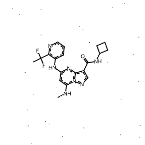 CNc1cc(Nc2cccnc2C(C)(F)F)nc2c(C(=O)NC3CCC3)cnn12